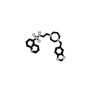 O=S(=O)(NCCN1CCCN(Cc2ccc3c(c2)OCO3)CC1)c1cccc2ncccc12